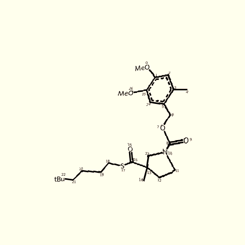 COc1cc(C)c(COC(=O)N2CCC(C)(C(=O)SCCCCC(C)(C)C)C2)cc1OC